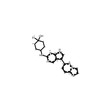 CCC1(O)CCC(Nc2ncc3c(-c4ccc5nccn5n4)c[nH]c3n2)CC1